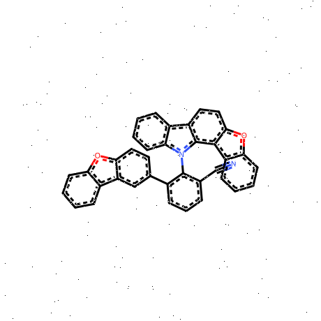 N#Cc1cccc(-c2ccc3oc4ccccc4c3c2)c1-n1c2ccccc2c2ccc3oc4ccccc4c3c21